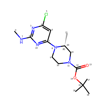 CNc1nc(Cl)cc(N2CCN(C(=O)OC(C)(C)C)C[C@H]2C)n1